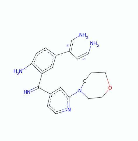 N=C(c1ccnc(N2CCCOCC2)c1)c1cc(C(/C=C\N)=C/N)ccc1N